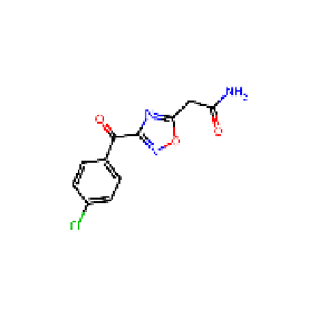 NC(=O)Cc1nc(C(=O)c2ccc(Cl)cc2)no1